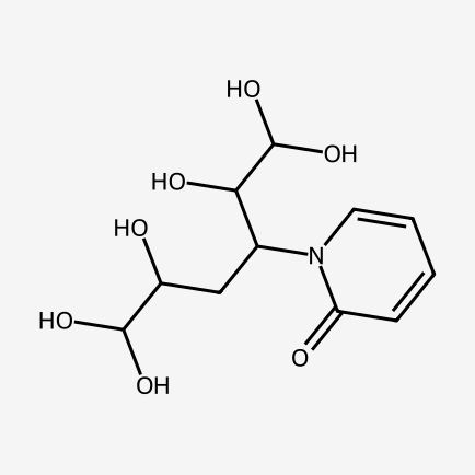 O=c1ccccn1C(CC(O)C(O)O)C(O)C(O)O